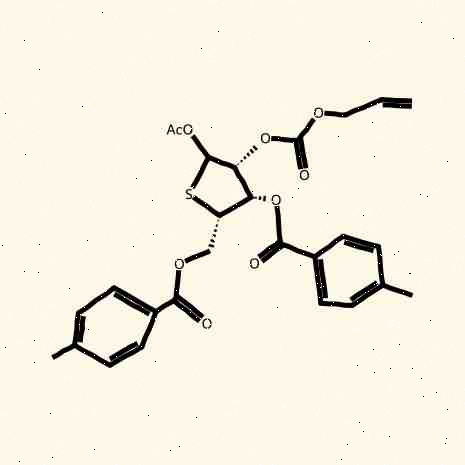 C=CCOC(=O)O[C@H]1C(OC(C)=O)S[C@@H](COC(=O)c2ccc(C)cc2)[C@H]1OC(=O)c1ccc(C)cc1